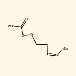 CCCC/C=C\CCOOC(=O)CCC